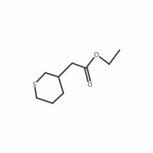 CCOC(=O)CC1CCCSC1